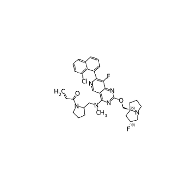 C=CC(=O)N1CCCC1CN(C)c1nc(OC[C@@]23CCCN2C[C@H](F)C3)nc2c(F)c(-c3cccc4cccc(Cl)c34)ncc12